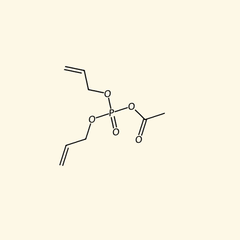 C=CCOP(=O)(OCC=C)OC(C)=O